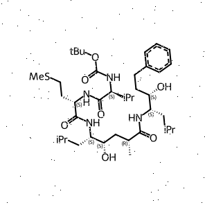 CSCC[C@H](NC(=O)[C@@H](NC(=O)OC(C)(C)C)C(C)C)C(=O)N[C@@H](CC(C)C)[C@@H](O)C[C@@H](C)C(=O)N[C@@H](CC(C)C)[C@@H](O)CCc1ccccc1